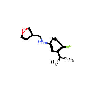 CC(C)c1cc(NCC2CCOC2)ccc1F